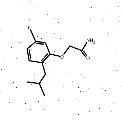 C[C](C)Cc1ccc(F)cc1OCC(N)=O